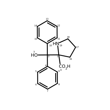 O=C(O)C1(C(O)(c2ccccc2)c2ccccc2)CCCN1